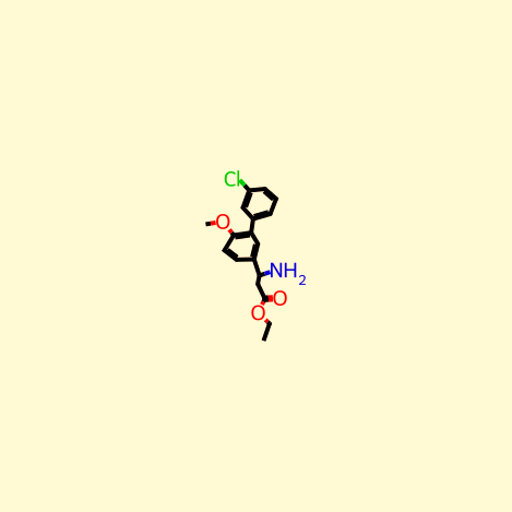 CCOC(=O)CC(N)c1ccc(OC)c(-c2cccc(Cl)c2)c1